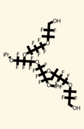 CC(C)OC(F)(F)C(F)(OC(C)(C)C(F)(F)C(F)(F)OC(C)(C)C(F)(F)CO)C(F)(F)OC(F)(F)C(F)(OC(C)(C)C(F)(F)C(F)(F)OC(C)(C)C(F)(F)CO)C(F)(F)OC(C)C